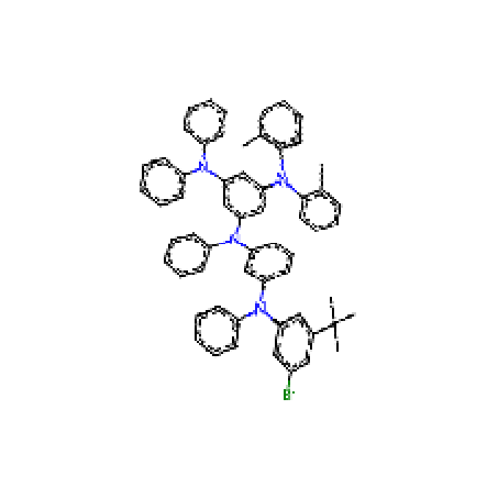 Cc1ccccc1N(c1cc(N(c2ccccc2)c2ccccc2)cc(N(c2ccccc2)c2cccc(N(c3ccccc3)c3cc(Br)cc(C(C)(C)C)c3)c2)c1)c1ccccc1C